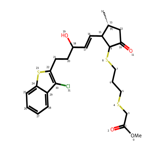 COC(=O)CSCCCSC1C(=O)C[C@@H](C)C1C=CC(O)CCc1sc2ccccc2c1Cl